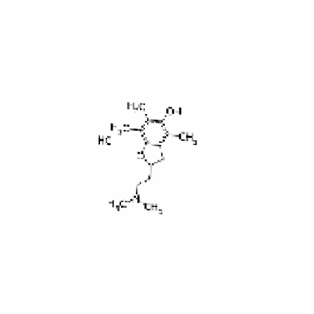 Cc1c(C)c2c(c(C)c1O)C[C@@H](CCN(C)C)O2.Cl